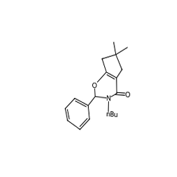 CCCCN1C(=O)C2=C(CC(C)(C)C2)OC1c1ccccc1